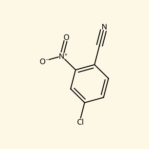 N#Cc1ccc(Cl)cc1[N+](=O)[O-]